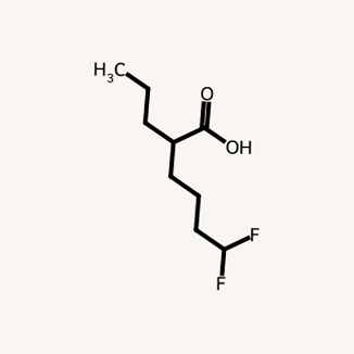 CCCC(CCCC(F)F)C(=O)O